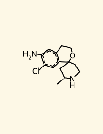 C[C@H]1CC2(CCN1)OCCc1cc(N)c(Cl)cc12